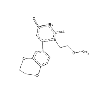 COCCn1c(-c2ccc3c(c2)OCCO3)cc(=O)[nH]c1=S